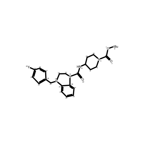 CC(C)(C)OC(=O)N1CCC(NC(=O)N2CCN(Cc3ccc(F)cc3)c3ccccc32)CC1